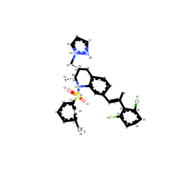 C/C(=C\c1ccc2c(c1)N(S(=O)(=O)c1cccc(C(F)(F)F)c1)[C@H](C)[C@H](Cn1cccn1)C2)c1c(F)cccc1Cl